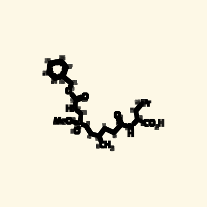 COP(=O)(CCC(C)CCC(=O)N[C@@H](CC(C)C)C(=O)O)CNC(=O)OCc1ccccc1